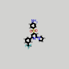 Nc1ccc(S(=O)(=O)c2cc(-c3cccc(C(F)(F)F)c3)nc(N3CCCC3)c2)cc1